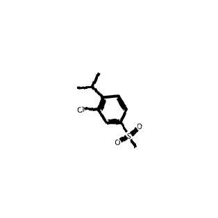 CC(C)c1ccc(S(C)(=O)=O)cc1Cl